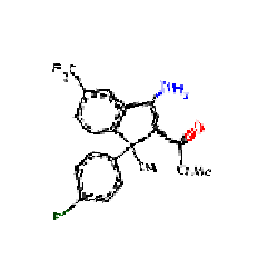 COC(=O)C1=C(N)c2cc(C(F)(F)F)ccc2C1(C#N)c1ccc(F)cc1